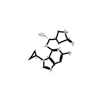 C[C@@H](Oc1nc(Br)cc2ncn(C3CC3)c12)C1CNC(=O)C1